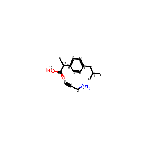 C#CCN.CC(C)Cc1ccc(C(C)C(=O)O)cc1